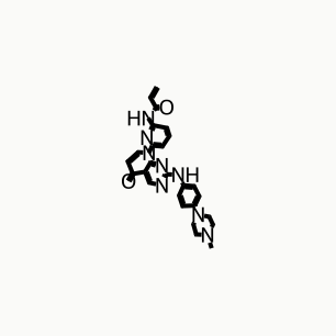 C=CC(=O)Nc1cccc(-n2ccc(=O)c3cnc(Nc4ccc(N5CCN(C)CC5)cc4)nc32)n1